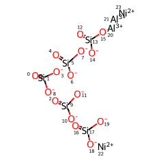 O=[Si]([O-])[O-].O=[Si]([O-])[O-].O=[Si]([O-])[O-].O=[Si]([O-])[O-].O=[Si]([O-])[O-].[Al+3].[Al+3].[Ni+2].[Ni+2]